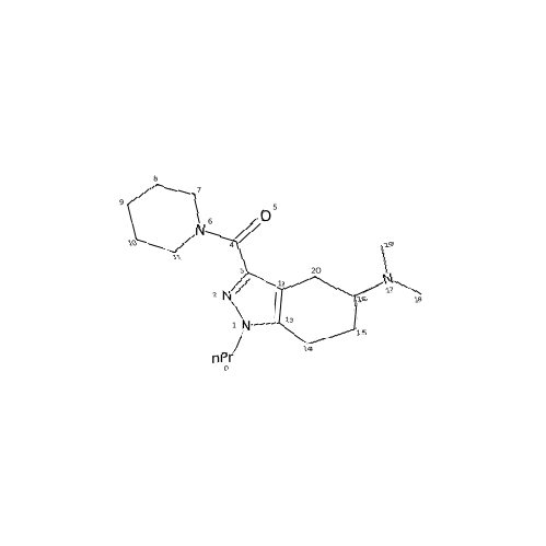 CCCn1nc(C(=O)N2CCCCC2)c2c1CCC(N(C)C)C2